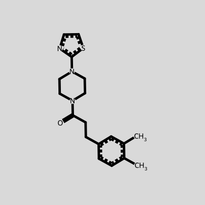 Cc1ccc(CCC(=O)N2CCN(c3nccs3)CC2)cc1C